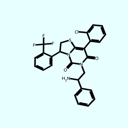 NC(Cn1c(=O)c(-c2ccccc2Cl)c2n(c1=O)C(c1ccccc1C(F)(F)F)CS2)c1ccccc1